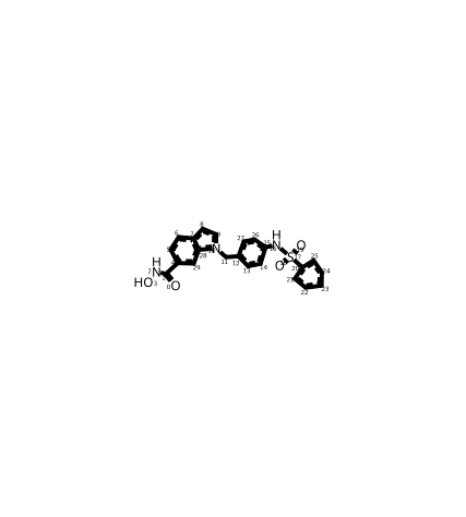 O=C(NO)c1ccc2ccn(Cc3ccc(NS(=O)(=O)c4ccccc4)cc3)c2c1